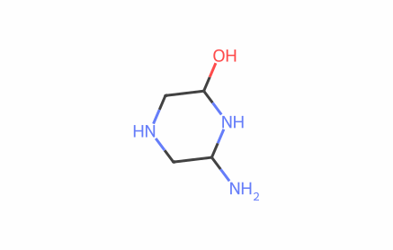 NC1CNCC(O)N1